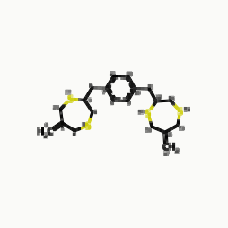 C=C1CSCC(Cc2ccc(CC3CSCC(=C)CS3)cc2)SC1